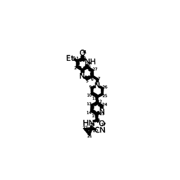 CCc1cc2ncc(CN3CC=C(c4ccc(C(=O)NC5(C#N)CC5)nc4)CC3)cc2[nH]c1=O